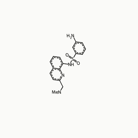 CNCc1ccc2cccc(NS(=O)(=O)c3cccc(N)c3)c2n1